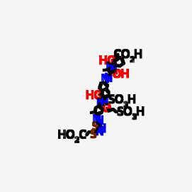 Cc1cc(N=Nc2c(S(=O)(=O)O)cc3cc(N=Nc4c(C)nn(-c5cccc(C(=O)O)c5O)c4O)ccc3c2O)c(OCCCS(=O)(=O)O)cc1N=Nc1nnc(SCCC(=O)O)s1